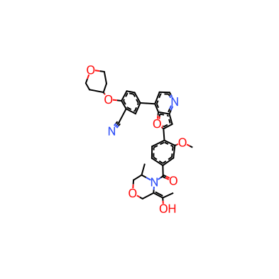 COc1cc(C(=O)N2/C(=C(\C)O)COCC2C)ccc1-c1cc2nccc(-c3ccc(OC4CCOCC4)c(C#N)c3)c2o1